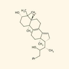 CC(C)CC(O)[C@@H](C)[C@H]1CC=C2C3=C(CC[C@@]21C)[C@@]1(C)CC[C@H](O)C(C)(C)[C@@H]1CC3